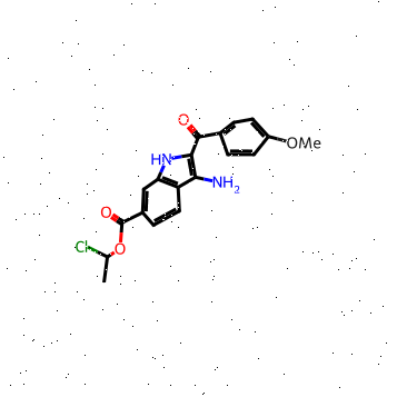 COc1ccc(C(=O)c2[nH]c3cc(C(=O)OC(C)Cl)ccc3c2N)cc1